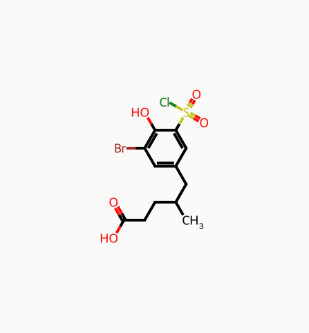 CC(CCC(=O)O)Cc1cc(Br)c(O)c(S(=O)(=O)Cl)c1